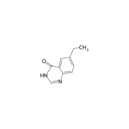 CCc1ccc2nc[nH]c(=O)c2c1